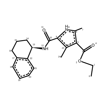 CCOC(=O)c1c(C)[nH]c(C(=O)N[C@@H]2CCCc3ccccc32)c1C